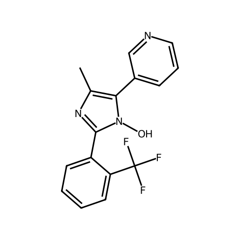 Cc1nc(-c2ccccc2C(F)(F)F)n(O)c1-c1cccnc1